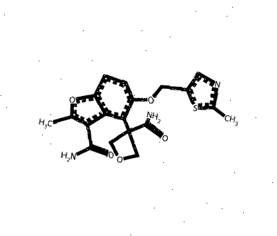 Cc1ncc(COc2ccc3oc(C)c(C(N)=O)c3c2C2(C(N)=O)COC2)s1